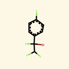 Fc1ccc(C(F)(Br)C(F)F)cc1